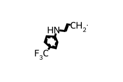 [CH2]/C=C/Nc1ccc(C(F)(F)F)cc1